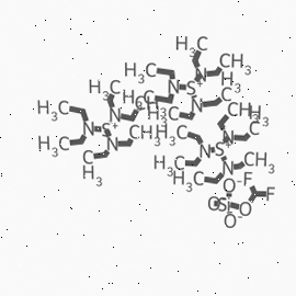 CCN(CC)[S+](N(CC)CC)N(CC)CC.CCN(CC)[S+](N(CC)CC)N(CC)CC.CCN(CC)[S+](N(CC)CC)N(CC)CC.[O-][Si]([O-])([O-])OC(F)F